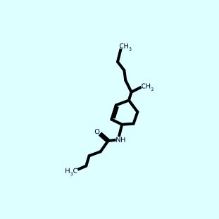 CCCCC(=O)NC1C=CC(C(C)CCCC)CC1